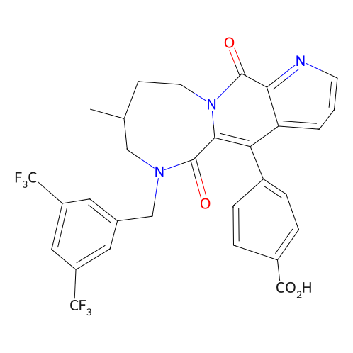 CC1CCn2c(c(-c3ccc(C(=O)O)cc3)c3cccnc3c2=O)C(=O)N(Cc2cc(C(F)(F)F)cc(C(F)(F)F)c2)C1